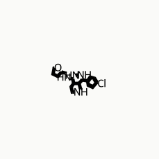 Clc1ccc(C2NNC(NCC3CCCO3)C3CCNCC23)cc1